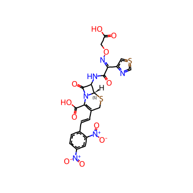 O=C(O)CON=C(C(=O)NC1C(=O)N2C(C(=O)O)=C(C=Cc3ccc([N+](=O)[O-])cc3[N+](=O)[O-])CS[C@@H]12)c1cscn1